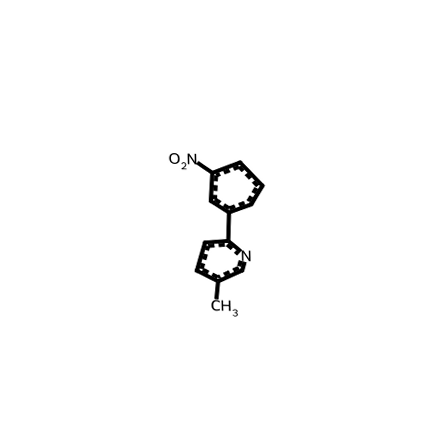 Cc1ccc(-c2cccc([N+](=O)[O-])c2)nc1